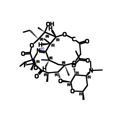 CCC(=O)/N=C1\[C@H](C)C[C@@]2(C)OCC(=O)CO[C@H]([C@H]1C)[C@](C)(O)[C@@H](CC)OC(=O)[C@@](C)(F)C(=O)[C@H](C)[C@H]2O[C@@H]1O[C@H](C)C[C@H](N(C)C)[C@H]1OC(C)=O